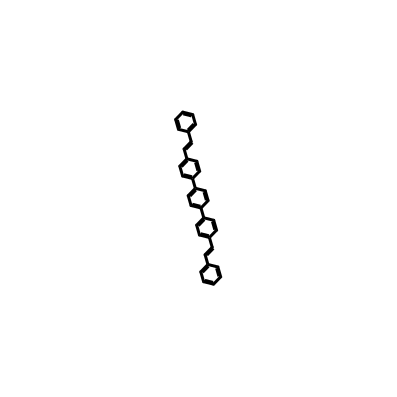 C(=Cc1ccc(-c2ccc(-c3ccc(C=Cc4ccccc4)cc3)cc2)cc1)c1ccccc1